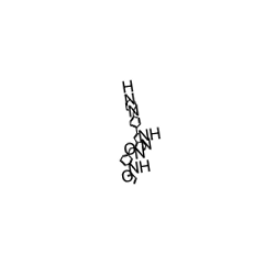 C=CC(=O)Nc1cccc(Oc2ncnc3[nH]c(-c4ccc(N5CCNCC5)cc4)cc23)c1